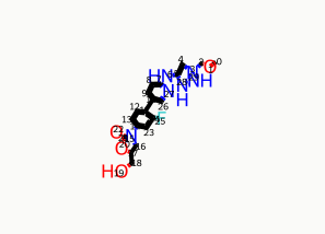 COCN1C=C(Nc2ccc(-c3ccc(N4CC(CO)OC4=O)cc3F)cn2)NN1